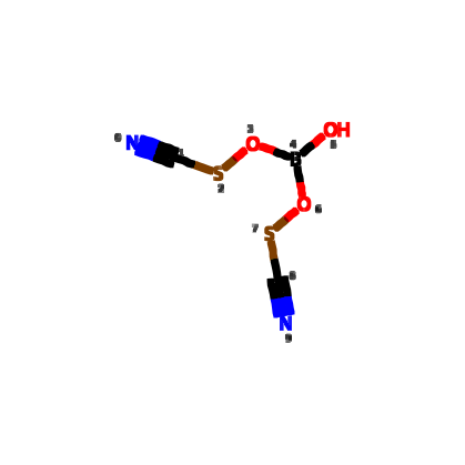 N#CSOB(O)OSC#N